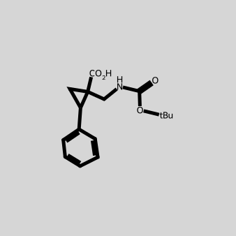 CC(C)(C)OC(=O)NCC1(C(=O)O)CC1c1ccccc1